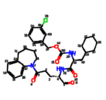 O=C[C@H](CCC(=O)N1CCCCc2ccccc21)NC(=O)[C@H](CC1CCCCC1)NC(=O)OCc1cccc(Cl)c1